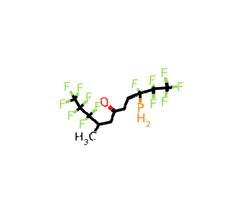 CC(CC(=O)CCC(F)(P)C(F)(F)C(F)(F)F)C(F)(F)C(F)(F)C(F)(F)F